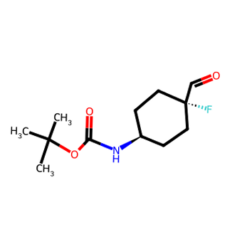 CC(C)(C)OC(=O)N[C@H]1CC[C@@](F)(C=O)CC1